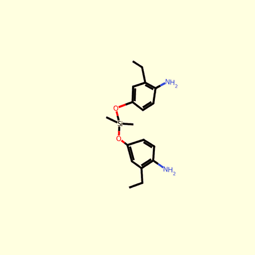 CCc1cc(O[Si](C)(C)Oc2ccc(N)c(CC)c2)ccc1N